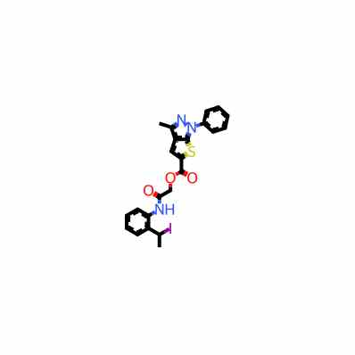 Cc1nn(-c2ccccc2)c2sc(C(=O)OCC(=O)Nc3ccccc3C(C)I)cc12